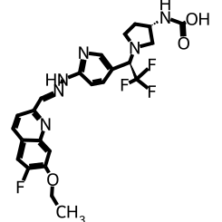 CCOc1cc2nc(C=NNc3ccc([C@@H](N4CC[C@H](NC(=O)O)C4)C(F)(F)F)cn3)ccc2cc1F